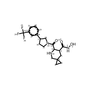 O=C(NO)C1CC2(CC2)CNC1C(=O)N1CCC(c2cccc(C(F)(F)F)c2)C1